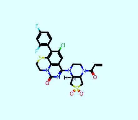 C=CC(=O)N1CCN(c2nc(=O)n3c4c(c(-c5ccc(F)cc5F)c(Cl)cc24)SCC3)[C@H]2CS(=O)(=O)CC21